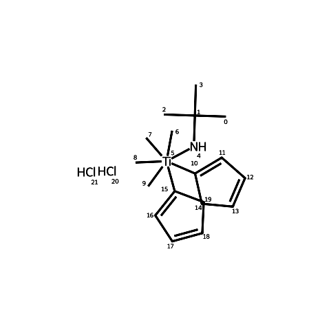 CC(C)(C)[NH][Ti]([CH3])([CH3])([CH3])([CH3])([C]1=CC=CC1)[C]1=CC=CC1.Cl.Cl